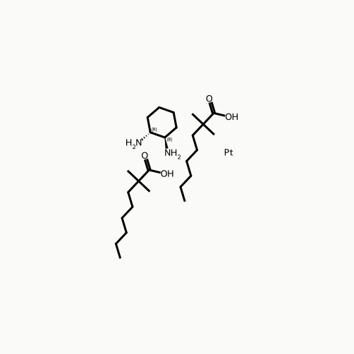 CCCCCCC(C)(C)C(=O)O.CCCCCCC(C)(C)C(=O)O.N[C@@H]1CCCC[C@H]1N.[Pt]